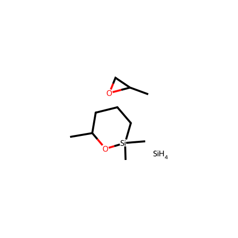 CC1CCC[Si](C)(C)O1.CC1CO1.[SiH4]